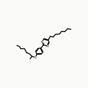 CCCCCCCCc1cnc(-c2ccc(OC(C)CCCCCC)cc2)nc1